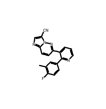 Cc1cc(-c2ncccc2-c2ccc3ncc(C#N)n3n2)ccc1F